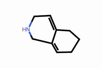 C1=C2CCCC=C2CNC1